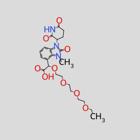 CCOCCOCCOCCOC(C(=O)O)c1cccc2c1n(C)c(=O)n2C1CCC(=O)NC1=O